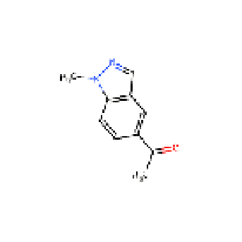 CC(=O)c1ccc2c(cnn2C)c1